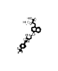 COC(Cc1ccc(OCCc2nc(-c3ccc(C(F)(F)F)cc3)oc2C)c2ccccc12)C(=O)O